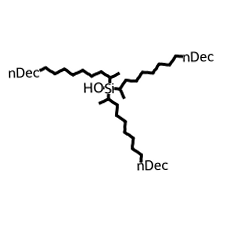 CCCCCCCCCCCCCCCCCC(C)[Si](O)(C(C)CCCCCCCCCCCCCCCCC)C(C)CCCCCCCCCCCCCCCCC